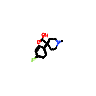 CN1CCC(C(=O)O)(c2ccc(F)cc2)CC1